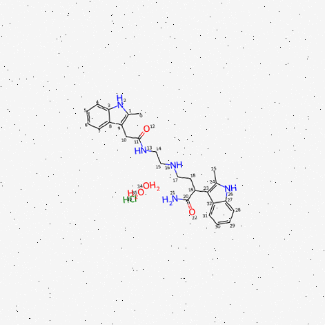 Cc1[nH]c2ccccc2c1CC(=O)NCCNCCC(C(N)=O)c1c(C)[nH]c2ccccc12.Cl.O.O